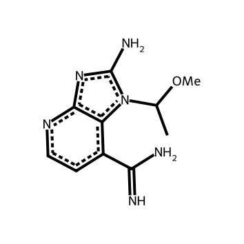 COC(C)n1c(N)nc2nccc(C(=N)N)c21